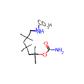 CC(C)(CNC(=O)O)CC(C)(C)CC(C)(C)OC(N)=O